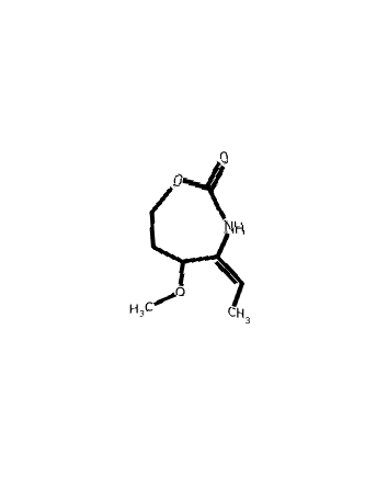 C/C=C1/NC(=O)OCCC1OC